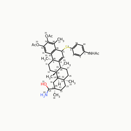 CC(=O)Nc1ccc(SC2C=C3[C@@](C)(CC[C@@]4(C)[C@@H]5C[C@](C)(C(N)O)CC[C@]5(C)CC[C@]34C)c3cc(OC(C)=O)c(OC(C)=O)c(C)c32)cc1